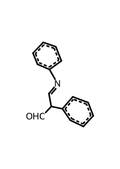 O=CC(C=Nc1ccccc1)c1ccccc1